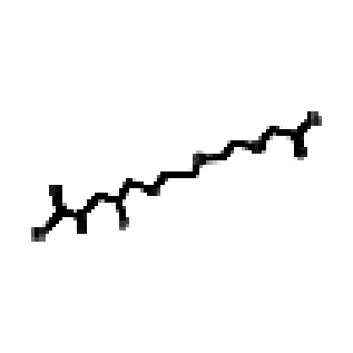 CCC(=O)COCCOCCOCC(F)CNC(=O)C(C)C